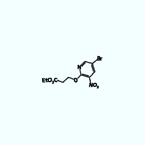 CCOC(=O)CCOc1ncc(Br)cc1[N+](=O)[O-]